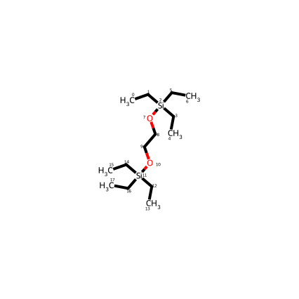 CC[Si](CC)(CC)OCCO[Si](CC)(CC)CC